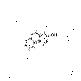 Oc1cc2ccc3ccccc3c2cn1